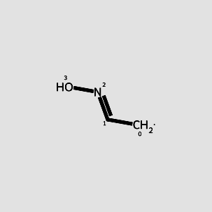 [CH2]C=NO